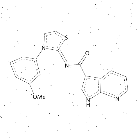 COc1cccc(-n2ccs/c2=N\C(=O)c2c[nH]c3ncccc23)c1